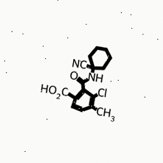 Cc1ccc(C(=O)O)c(C(=O)NC2(C#N)CCCCC2)c1Cl